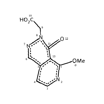 COc1nccc2cnn(CC(=O)O)c(=O)c12